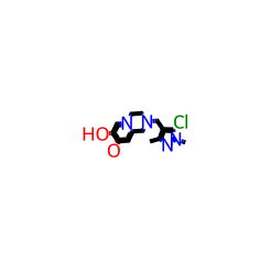 Cc1nn(C)c(Cl)c1CN1CCn2cc(O)c(=O)cc2C1